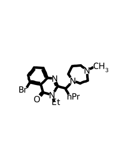 CCCC(c1nc2cccc(Br)c2c(=O)n1CC)N1CCCN(C)CC1